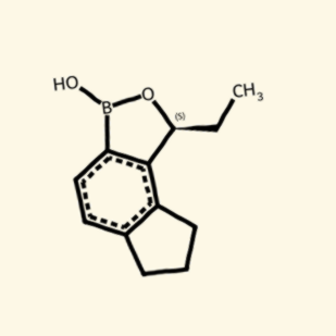 CC[C@@H]1OB(O)c2ccc3c(c21)CCC3